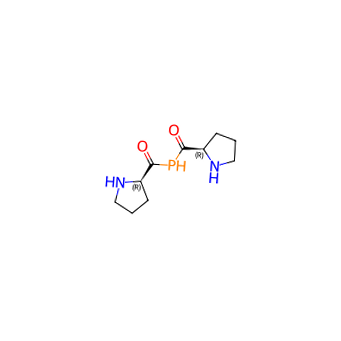 O=C(PC(=O)[C@H]1CCCN1)[C@H]1CCCN1